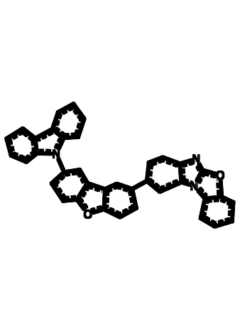 c1ccc2c(c1)oc1nc3ccc(-c4ccc5oc6ccc(-n7c8ccccc8c8ccccc87)cc6c5c4)cc3n12